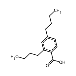 CCCCc1ccc(C(=O)O)c(CCCC)c1